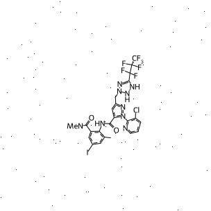 CNC(=O)c1cc(I)cc(C)c1NC(=O)c1cc(CN2N=C(C(F)(F)C(F)(F)C(F)(F)F)NN2)nn1-c1ncccc1Cl